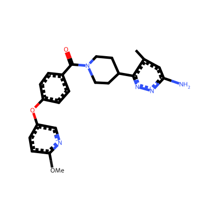 COc1ccc(Oc2ccc(C(=O)N3CCC(c4nnc(N)cc4C)CC3)cc2)cn1